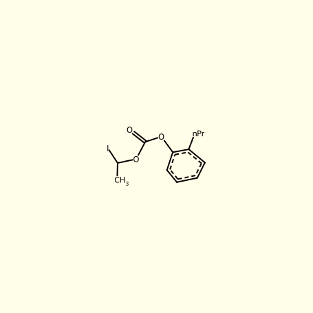 CCCc1ccccc1OC(=O)OC(C)I